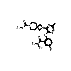 CCN(C(=O)c1cc(F)ccc1Oc1nnc(C)nc1N1CC2(CCN(C(=O)OC(C)(C)C)CC2)C1)C(C)C